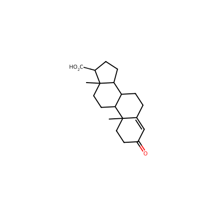 CC12CCC(=O)C=C1CCC1C2CCC2(C)C(C(=O)O)CCC12